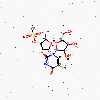 O=C1NC(=O)[N+]([C@@H]2C[C@H](OS(=O)(=O)C(F)(F)F)[C@@H](I)O2)([C@@H]2O[C@H](CO)[C@@H](O)[C@H]2O)C=C1F